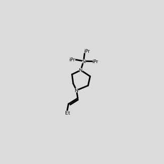 CCC=CN1CCN([Si](C(C)C)(C(C)C)C(C)C)CC1